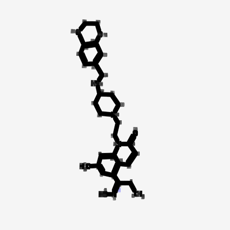 CC/C(=N/O)c1cc(C)cc2c1ccc(=O)n2CCN1CCC(NCc2ccc3c(c2)OCCO3)CC1